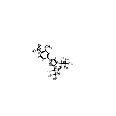 Cc1cc(-n2cc(C(F)(F)C(F)(F)F)c(C(F)(F)C(F)(F)F)n2)ccc1[N+](=O)[O-]